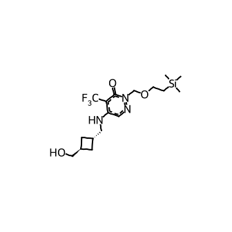 C[Si](C)(C)CCOCn1ncc(NC[C@H]2C[C@H](CO)C2)c(C(F)(F)F)c1=O